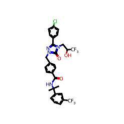 CC(C)(NC(=O)c1ccc(Cn2nc(-c3ccc(Cl)cc3)n(CC(O)C(F)(F)F)c2=O)cc1)c1cccc(C(F)(F)F)c1